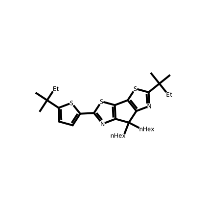 CCCCCCC1(CCCCCC)c2nc(-c3ccc(C(C)(C)CC)s3)sc2-c2sc(C(C)(C)CC)nc21